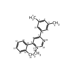 Cc1cc(C)cc(-c2cc(-c3ccccc3C)[n+](C)cn2)c1